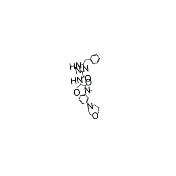 CN1C(=O)[C@@H](NC(=O)c2n[nH]c(Cc3ccccc3)n2)COc2ccc(N3CCCOCC3)cc21